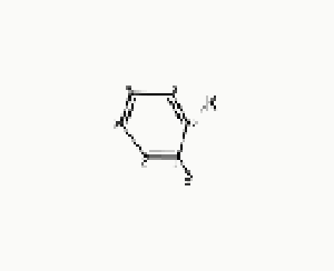 Cc1ccccc1.[K]